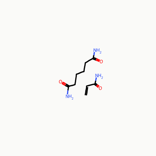 C=CC(N)=O.NC(=O)CCCCC(N)=O